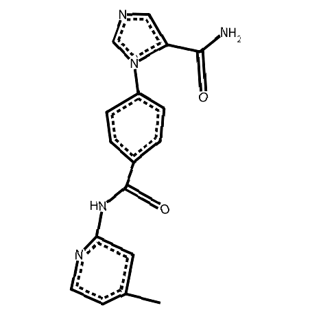 Cc1ccnc(NC(=O)c2ccc(-n3cncc3C(N)=O)cc2)c1